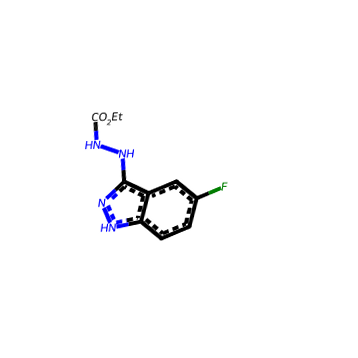 CCOC(=O)NNc1n[nH]c2ccc(F)cc12